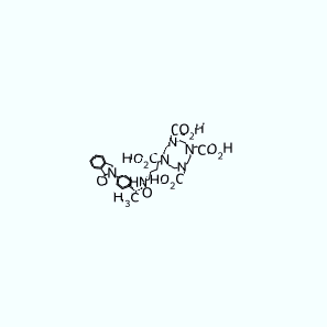 CC(C(=O)NCCCC(C(=O)O)N1CCN(CC(=O)O)CCN(CC(=O)O)CCN(CC(=O)O)CC1)c1ccc(N2Cc3ccccc3C2=O)cc1